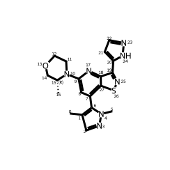 Cc1cnn(C)c1-c1cc(N2CCOC[C@H]2C)nc2c(-c3ccn[nH]3)nsc12